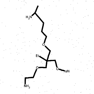 CCCOCC(CC)(COCCN)COCCCC(C)N